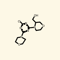 OCC1COCCN1c1nc(Cl)nc(N2CCOCC2)n1